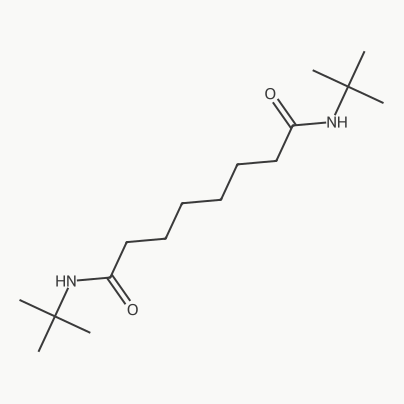 CC(C)(C)NC(=O)CCCCCCC(=O)NC(C)(C)C